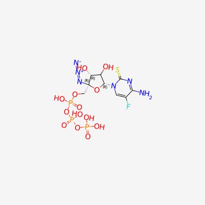 [N-]=[N+]=N[C@]1(COP(=O)(O)OP(=O)(O)OP(=O)(O)O)O[C@@H](n2cc(F)c(N)nc2=S)C(O)[C@H]1O